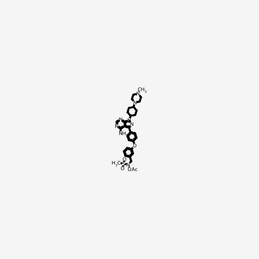 CC(=O)ON(Cc1cccc(Oc2ccc(-c3nn(C4CCC(N5CCN(C)CC5)CC4)c4ncnc(N)c34)cc2)c1)S(C)(=O)=O